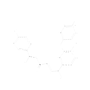 CC(/C=C/C(=O)NC(C)c1ccc(O)cc1)c1ccc(O)c(Oc2ccc(F)cc2)c1